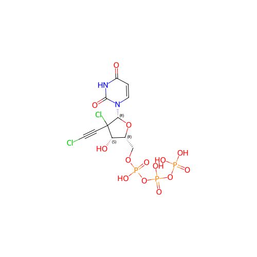 O=c1ccn([C@@H]2O[C@H](COP(=O)(O)OP(=O)(O)OP(=O)(O)O)[C@H](O)C2(Cl)C#CCl)c(=O)[nH]1